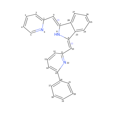 C(/c1ccccn1)=c1/[nH]/c(=C\c2cccc(-c3ccccc3)n2)c2ccccc12